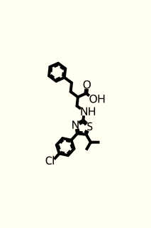 CC(C)c1sc(NCC(CCc2ccccc2)C(=O)O)nc1-c1ccc(Cl)cc1